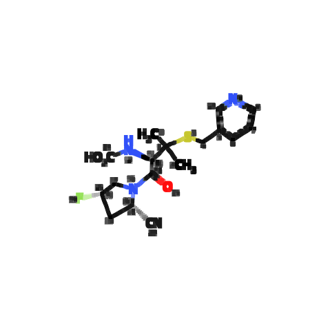 CC(C)(SCc1cccnc1)[C@H](NC(=O)O)C(=O)N1C[C@@H](F)C[C@H]1C#N